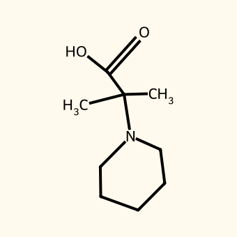 CC(C)(C(=O)O)N1CCCCC1